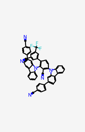 N#Cc1ccc(-c2ccc3c4ccccc4n(-c4ccc(-c5cc(C#N)cc(C(F)(F)F)c5)c(-n5c6ccccc6c6ccc(-c7ccc(C#N)cc7)cc65)c4C#N)c3c2)cc1